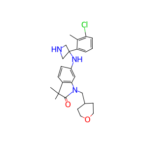 Cc1c(Cl)cccc1C1(Nc2ccc3c(c2)N(CC2CCOCC2)C(=O)C3(C)C)CNC1